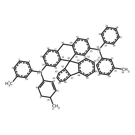 Cc1cccc(N(C2=CCC(C)C=C2)c2ccc3c(c2)C2(c4cc(N(c5ccccc5)c5cccc(C)c5)ccc4C3)c3ccccc3-c3ccccc32)c1